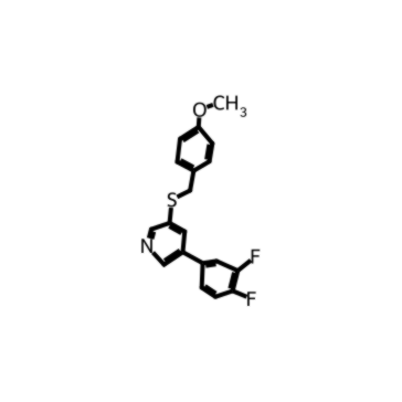 COc1ccc(CSc2cncc(-c3ccc(F)c(F)c3)c2)cc1